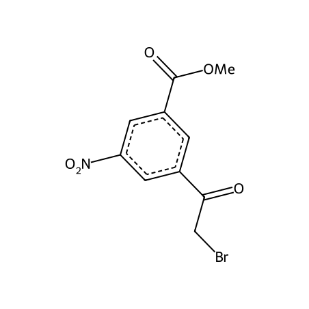 COC(=O)c1cc(C(=O)CBr)cc([N+](=O)[O-])c1